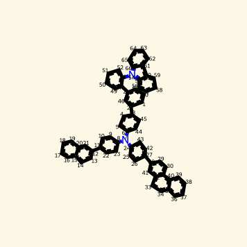 c1cc(-c2ccc(N(c3ccc(-c4ccc5ccccc5c4)cc3)c3ccc(-c4ccc5c(ccc6ccccc65)c4)cc3)cc2)cc(-c2ccccc2-n2c3ccccc3c3ccccc32)c1